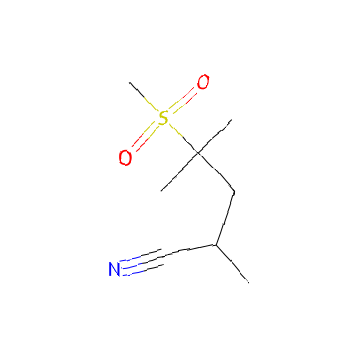 CC(C#N)CC(C)(C)S(C)(=O)=O